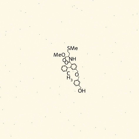 COC(=O)C(CCSC)NC(=O)c1ccc(COCc2cccc(CO)c2)cc1-c1ccccc1C